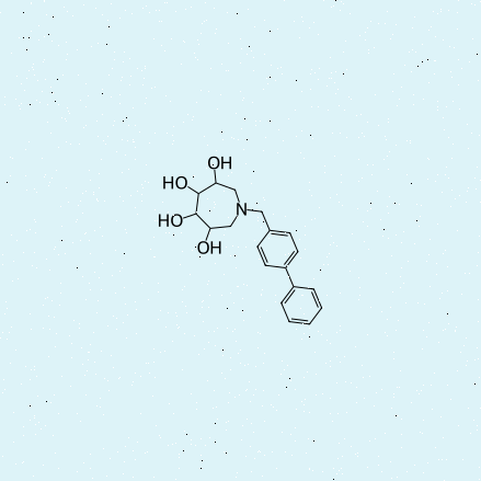 OC1CN(Cc2ccc(-c3ccccc3)cc2)CC(O)C(O)C1O